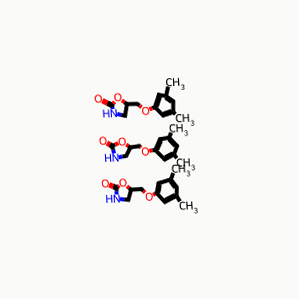 Cc1cc(C)cc(OCC2CNC(=O)O2)c1.Cc1cc(C)cc(OCC2CNC(=O)O2)c1.Cc1cc(C)cc(OCC2CNC(=O)O2)c1